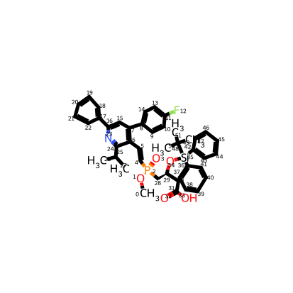 COP(=O)(/C=C/c1c(-c2ccc(F)cc2)cc(-c2ccccc2)nc1C(C)C)C[C@H](CC(=O)O)O[Si](c1ccccc1)(c1ccccc1)C(C)(C)C